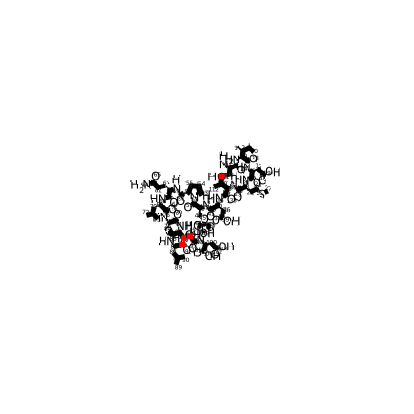 CC[C@H](C)[C@H](NC(=O)[C@@H](N)CO)C(=O)N[C@@H](CC(=O)O)C(=O)N[C@@H](CCSC)C(=O)N[C@H](C(=O)N[C@@H](CC(=O)O)C(=O)N[C@@H](COP(=O)(O)O)C(=O)N1CCC[C@H]1C(=O)N[C@@H](CCC(N)=O)C(=O)N[C@@H](CC(C)C)C(=O)N[C@@H](C)C(=O)N[C@H](C(=O)N[C@@H](CC(C)C)C(=O)N[C@@H](C)C(=O)N[C@@H](CC(=O)O)C(=O)O)[C@@H](C)O)C(C)C